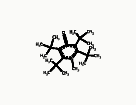 Cn1c(C(C)(C)C)c(C(C)(C)C)c(=O)c(C(C)(C)C)c1C(C)(C)C